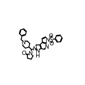 O=C1CCCN1C(C1CCN(Cc2ccccc2)CC1)N1Cc2c(cnc3c2ccn3S(=O)(=O)c2ccccc2)N1